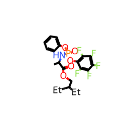 CCC(CC)COC(=O)C(C)NP(=O)(Oc1ccccc1)Oc1c(F)c(F)c(F)c(F)c1F